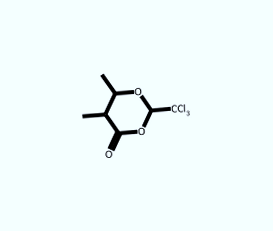 CC1OC(C(Cl)(Cl)Cl)OC(=O)C1C